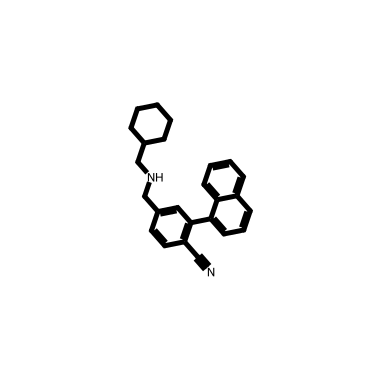 N#Cc1ccc(CNCC2CCCCC2)cc1-c1cccc2ccccc12